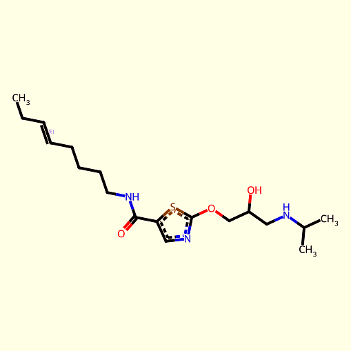 CC/C=C/CCCCNC(=O)c1cnc(OCC(O)CNC(C)C)s1